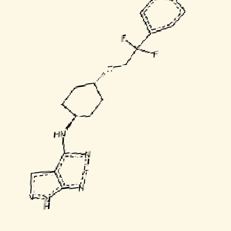 FC(F)(CO[C@H]1CC[C@H](Nc2ncnc3[nH]ncc23)CC1)c1ccccc1